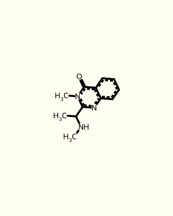 CNC(C)c1nc2ccccc2c(=O)n1C